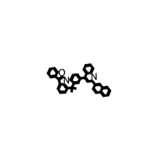 CC1(C)c2cc(-c3cc(-c4ccc5ccccc5c4)nc4ccccc34)ccc2-n2c3oc4ccccc4c3c3cccc1c32